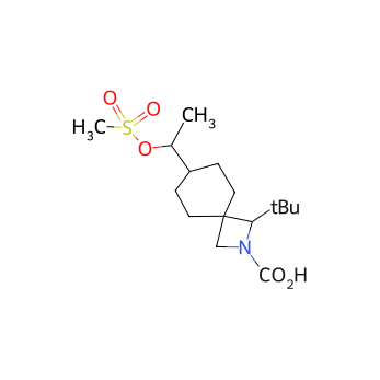 CC(OS(C)(=O)=O)C1CCC2(CC1)CN(C(=O)O)C2C(C)(C)C